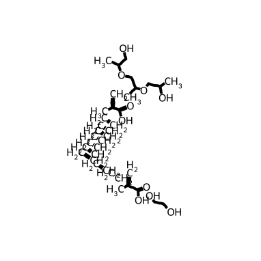 C=C.C=C.C=C.C=C.C=C.C=C.C=C.C=C.C=C.C=C(C)C(=O)O.C=C(C)C(=O)O.CC(O)COC(C)COC(C)CO.OCCO